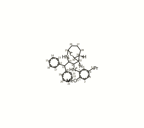 COc1ccc(C(C)C)cc1NC1C(C(c2ccccc2)c2ccccc2)NC2CCC[C@H]3C(C2)[C@@H]13